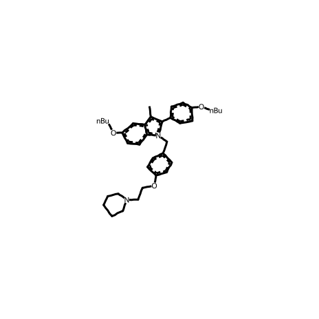 CCCCOc1ccc(-c2c(C)c3cc(OCCCC)ccc3n2Cc2ccc(OCCN3CCCCC3)cc2)cc1